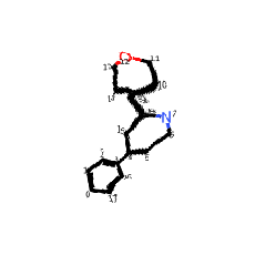 c1ccc(C2CC[N]C(C3CCOCC3)C2)cc1